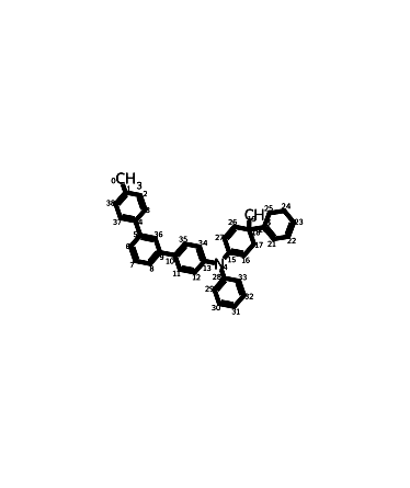 Cc1ccc(-c2cccc(-c3ccc(N(C4=CCC(C)(C5=CC=CCC5)C=C4)c4ccccc4)cc3)c2)cc1